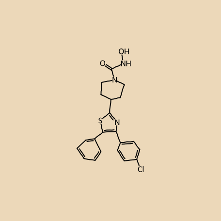 O=C(NO)N1CCC(c2nc(-c3ccc(Cl)cc3)c(-c3ccccc3)s2)CC1